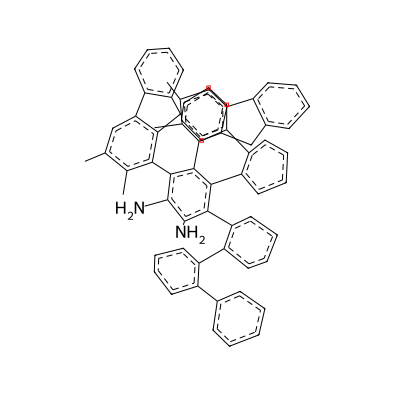 Cc1cc2c(c(-c3c(N)c(N)c(-c4ccccc4-c4ccccc4-c4ccccc4)c(-c4ccccc4-c4ccccc4)c3-c3c(C)c(C)cc4c3Cc3ccccc3-4)c1C)Cc1ccccc1-2